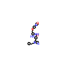 O=C1Nc2cc(CCOc3ccc(N4CCOCC4)cc3)ccc2Nc2cc(-c3cn(CCCc4ccccc4)c4cnccc34)ccc21